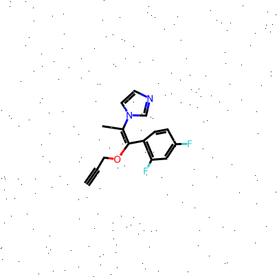 C#CCOC(=C(C)n1ccnc1)c1ccc(F)cc1F